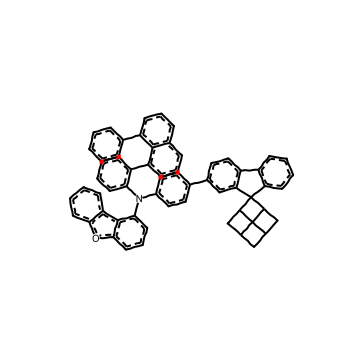 c1ccc(-c2cccc3cccc(-c4ccccc4N(c4ccc(-c5ccc6c(c5)C5(c7ccccc7-6)C6CC7CC8CC5C786)cc4)c4cccc5oc6ccccc6c45)c23)cc1